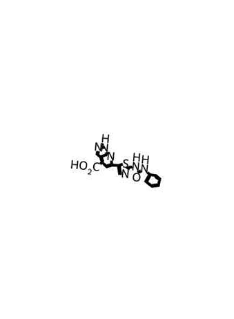 O=C(Nc1ccccc1)Nc1ncc(-c2cc(C(=O)O)c3cn[nH]c3n2)s1